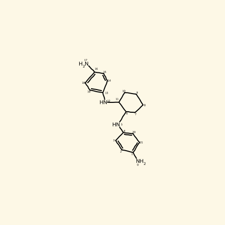 Nc1ccc(NC2CCCCC2Nc2ccc(N)cc2)cc1